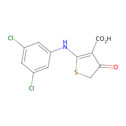 O=C(O)C1=C(Nc2cc(Cl)cc(Cl)c2)SCC1=O